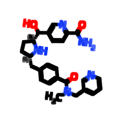 CN(Cc1cccnc1)C(=O)c1ccc(C[C@@H]2CC[C@H](C(O)c3ccc(C(N)=O)nc3)N2)cc1